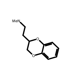 CNCCC1COc2ccccc2O1